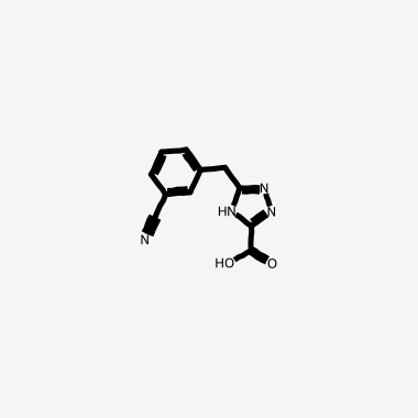 N#Cc1cccc(Cc2nnc(C(=O)O)[nH]2)c1